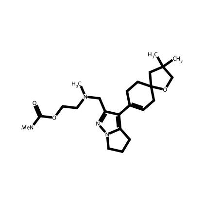 CNC(=O)OCCN(C)Cc1nn2c(c1C1=CCC3(CC1)CC(C)(C)CO3)CCC2